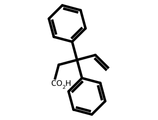 C=CC(CC(=O)O)(c1ccccc1)c1ccccc1